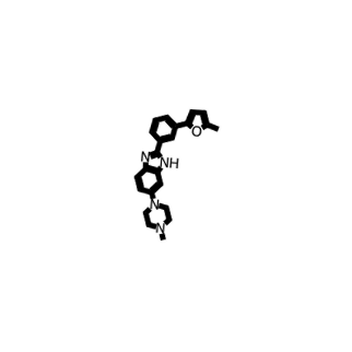 Cc1ccc(-c2cccc(-c3nc4ccc(N5CCN(C)CC5)cc4[nH]3)c2)o1